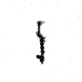 CC[C@@H]([C@H](C)OC(=O)OC(C)OC(=O)CCCCCCCOS(=O)(=O)O)n1ncn(-c2ccc(N3CCN(c4ccc(OC[C@@H]5CO[C@@](Cn6cncn6)(c6ccc(F)cc6F)C5)cc4)CC3)cc2)c1=O